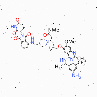 CNC(=O)CC(CC1(COc2cc3c(N[C@H](C)c4cc(N)cc(C(F)(F)F)c4)nc(C)nc3cc2OC)CC1)N1CCC(CNc2cccc3c2C(=O)N(C2CCC(=O)NC2=O)C3=O)CC1